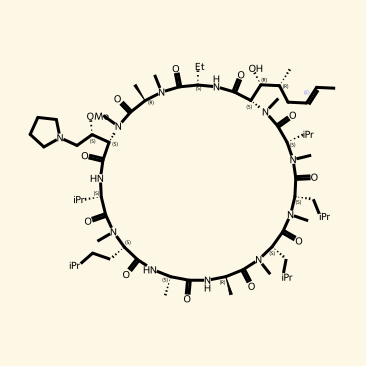 C/C=C/C[C@@H](C)[C@@H](O)[C@H]1C(=O)N[C@@H](CC)C(=O)N(C)[C@H](C)C(=O)N(C)[C@@H]([C@H](CN2CCCC2)OC)C(=O)N[C@@H](C(C)C)C(=O)N(C)[C@@H](CCC(C)C)C(=O)N[C@@H](C)C(=O)N[C@H](C)C(=O)N(C)[C@@H](CC(C)C)C(=O)N(C)[C@@H](CC(C)C)C(=O)N(C)[C@@H](C(C)C)C(=O)N1C